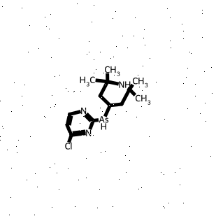 CC1(C)CC([AsH]c2nccc(Cl)n2)CC(C)(C)N1